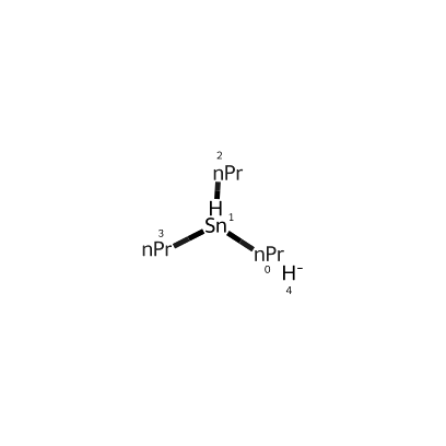 CC[CH2][SnH]([CH2]CC)[CH2]CC.[H-]